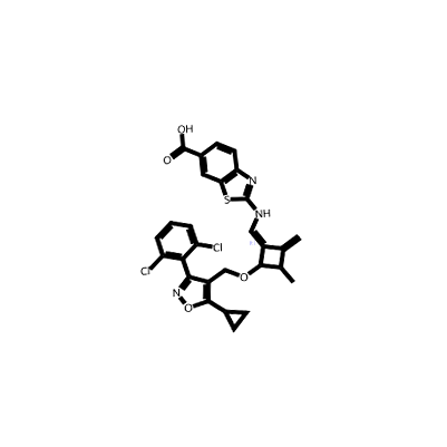 C=C1/C(=C\Nc2nc3ccc(C(=O)O)cc3s2)C(OCc2c(-c3c(Cl)cccc3Cl)noc2C2CC2)C1C